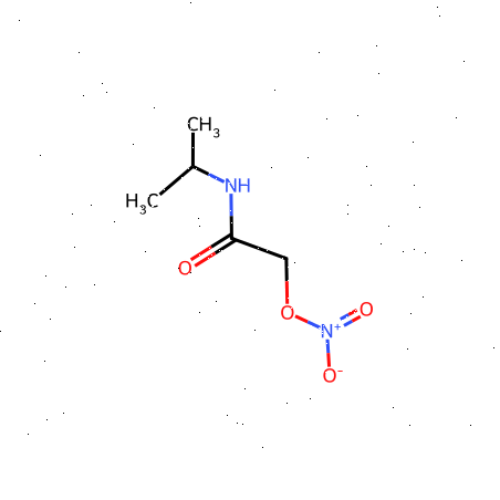 CC(C)NC(=O)CO[N+](=O)[O-]